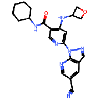 N#Cc1cnc2c(cnn2-c2cc(NC3COC3)c(C(=O)NC3CCCCC3)cn2)c1